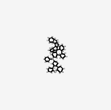 c1ccc(N(c2ccc3c(c2)-c2ccccc2Oc2ccccc2-3)c2ccc3c(c2)-c2ccccc2-c2ccccc2C32c3ccccc3-c3c2ccc2c3-c3ccccc3C2)cc1